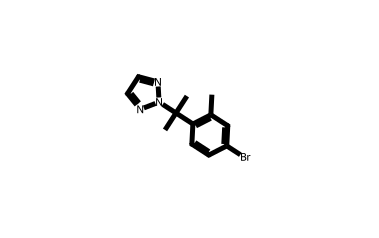 Cc1cc(Br)ccc1C(C)(C)n1nccn1